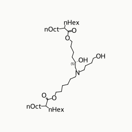 CCCCCCCCC(CCCCCC)C(=O)OCCCCCCN(CCCCO)C[C@@H](O)CCCCOC(=O)C(CCCCCC)CCCCCCCC